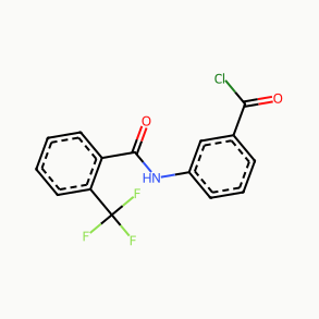 O=C(Cl)c1cccc(NC(=O)c2ccccc2C(F)(F)F)c1